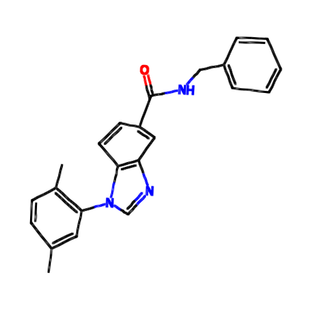 Cc1ccc(C)c(-n2cnc3cc(C(=O)NCc4ccccc4)ccc32)c1